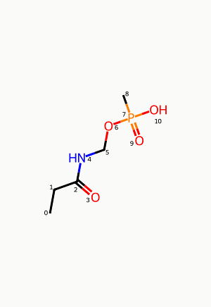 CCC(=O)NCOP(C)(=O)O